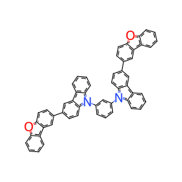 c1cc(-n2c3ccccc3c3cc(-c4ccc5oc6ccccc6c5c4)ccc32)cc(-n2c3ccccc3c3cc(-c4ccc5oc6ccccc6c5c4)ccc32)c1